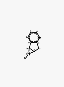 CN1C2Cc3ccccc3C21